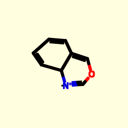 C1=CC2=COC=[N+]C2C=C1